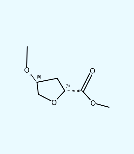 COC(=O)[C@H]1C[C@@H](OC)CO1